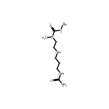 CN(CCNCCCNC(N)=O)C(=O)OC(C)(C)C